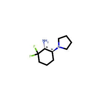 N[C@@H]1[C@@H](N2CCCC2)CCCC1(F)F